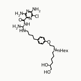 CCCCCCN(CCCC[C@H](O)CO)CCOc1ccc(CCCCNC(N)NC(=O)c2nc(Cl)c(N)nc2N)cc1